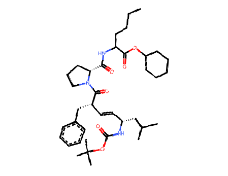 CCCCC(NC(=O)[C@H]1CCCN1C(=O)[C@H](/C=C/[C@H](CC(C)C)NC(=O)OC(C)(C)C)Cc1ccccc1)C(=O)OC1CCCCC1